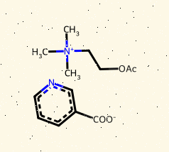 CC(=O)OCC[N+](C)(C)C.O=C([O-])c1cccnc1